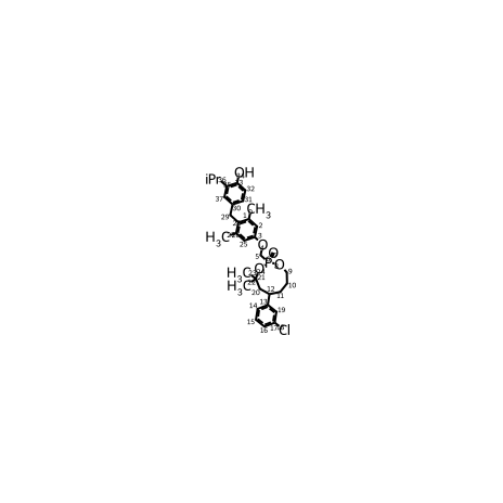 Cc1cc(OCP2(=O)OCCCC(c3cccc(Cl)c3)CC(C)(C)O2)cc(C)c1Cc1ccc(O)c(C(C)C)c1